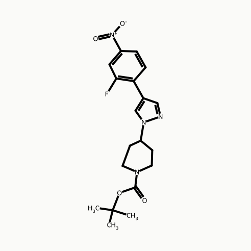 CC(C)(C)OC(=O)N1CCC(n2cc(-c3ccc([N+](=O)[O-])cc3F)cn2)CC1